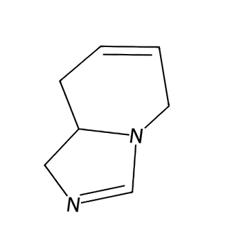 C1=CCN2C=NCC2C1